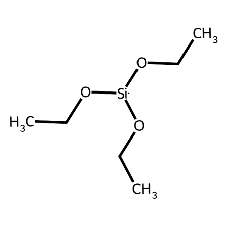 CCO[Si](OCC)OCC